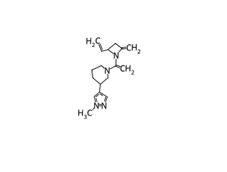 C=CC1CC(=C)N1C(=C)N1CCCC(c2cnn(C)c2)C1